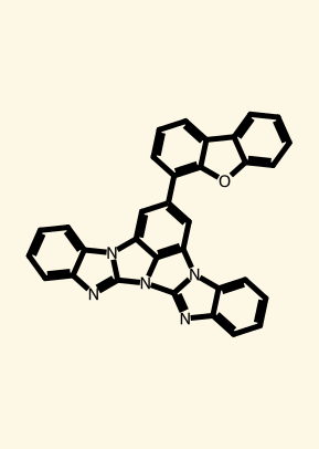 c1ccc2c(c1)nc1n2c2cc(-c3cccc4c3oc3ccccc34)cc3c2n1c1nc2ccccc2n31